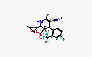 CC1=C(C#N)C(c2ccc(F)cc2C(F)(F)F)C(C)(C(=O)O)C(C2CC2)N1